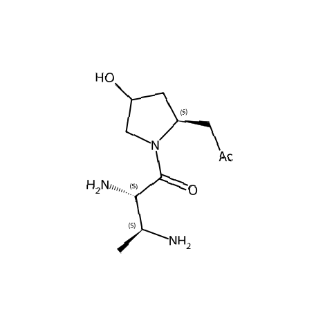 CC(=O)C[C@@H]1CC(O)CN1C(=O)[C@@H](N)[C@H](C)N